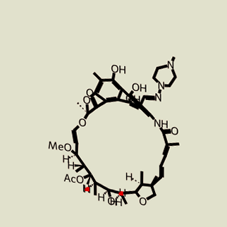 CO[C@H]1/C=C/O[C@@]2(C)Oc3c(C)c(O)c4c(O)c(c(/C=N/N5CCN(C)CC5)c(O)c4c3C2=O)NC(=O)/C(C)=C\C=C\C2(C)CO[C@H]([C@@H](C)[C@@H](O)[C@@H](C)[C@H](OC(C)=O)[C@@H]1C)[C@H]2C